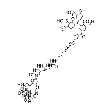 C=NCOC1C[C@H](n2cc(C#CCNC(=O)NCCCCCOCSSCCNC(=O)c3ccc(C(=O)O)c(-c4c5ccc(=N)c(S(=O)(=O)O)c-5oc5c(S(=O)(=O)O)c(N)ccc45)c3)c(N)nc2=O)O[C@@H]1COP(=O)(O)OP(=O)(O)OP(=O)(O)O